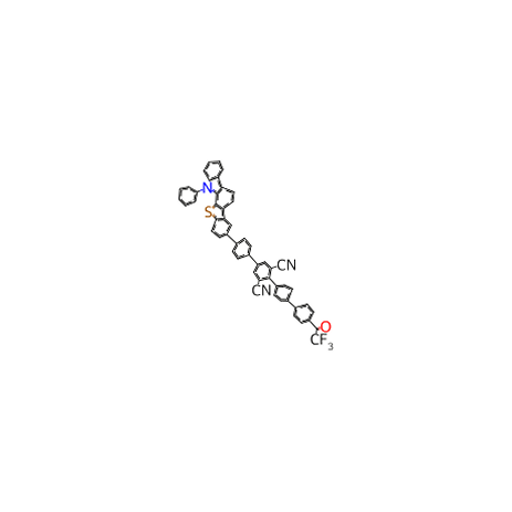 N#Cc1cc(-c2ccc(-c3ccc4sc5c(ccc6c7ccccc7n(-c7ccccc7)c65)c4c3)cc2)cc(C#N)c1-c1ccc(-c2ccc(C(=O)C(F)(F)F)cc2)cc1